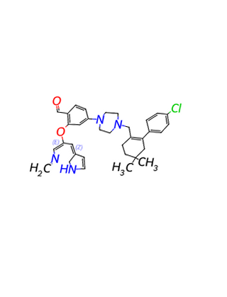 C=N/C=C(\C=C1\C=CNC1)Oc1cc(N2CCN(CC3=C(c4ccc(Cl)cc4)CC(C)(C)CC3)CC2)ccc1C=O